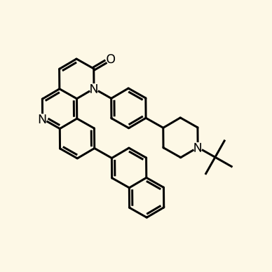 CC(C)(C)N1CCC(c2ccc(-n3c(=O)ccc4cnc5ccc(-c6ccc7ccccc7c6)cc5c43)cc2)CC1